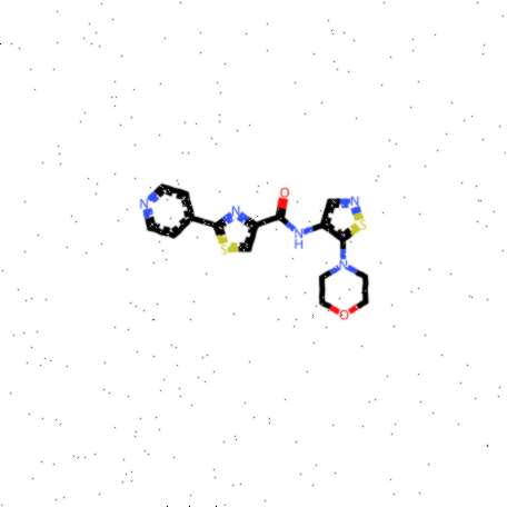 O=C(Nc1cnsc1N1CCOCC1)c1csc(-c2ccncc2)n1